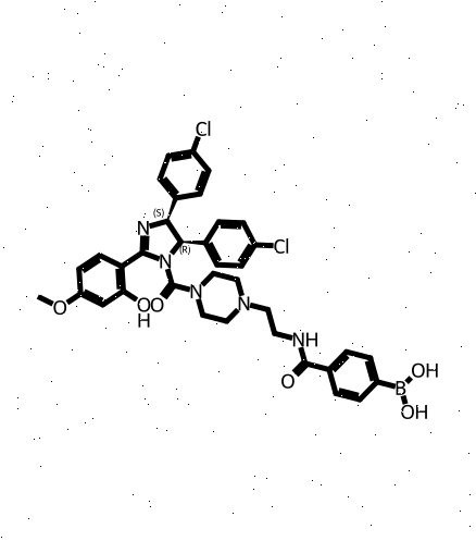 COc1ccc(C2=N[C@@H](c3ccc(Cl)cc3)[C@@H](c3ccc(Cl)cc3)N2C(=O)N2CCN(CCNC(=O)c3ccc(B(O)O)cc3)CC2)c(O)c1